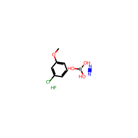 COc1cccc(Cl)c1.F.N#N.OB(O)O